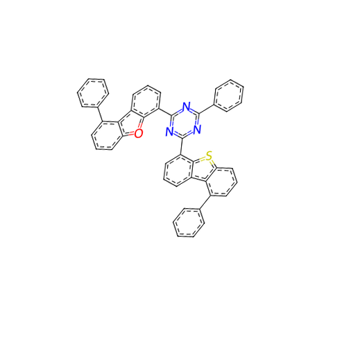 c1ccc(-c2nc(-c3cccc4c3oc3cccc(-c5ccccc5)c34)nc(-c3cccc4c3sc3cccc(-c5ccccc5)c34)n2)cc1